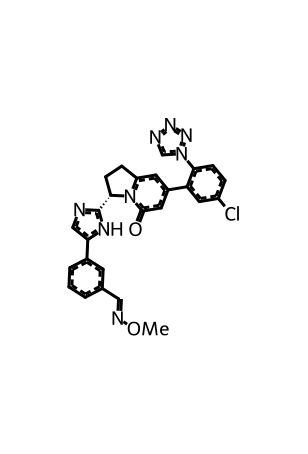 CON=Cc1cccc(-c2cnc([C@@H]3CCc4cc(-c5cc(Cl)ccc5-n5cnnn5)cc(=O)n43)[nH]2)c1